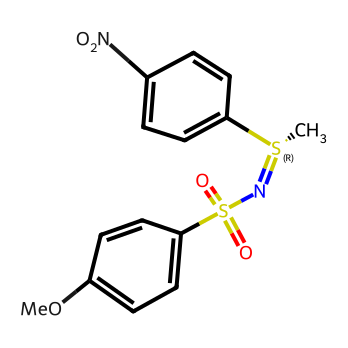 COc1ccc(S(=O)(=O)N=[S@@](C)c2ccc([N+](=O)[O-])cc2)cc1